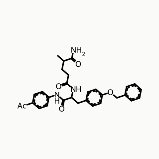 CC(=O)c1ccc(NC(=O)C(Cc2ccc(OCc3ccccc3)cc2)NC(=O)[CH]CC(C)C(N)=O)cc1